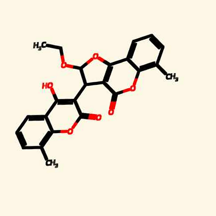 CCOC1Oc2c(c(=O)oc3c(C)cccc23)C1c1c(O)c2cccc(C)c2oc1=O